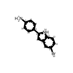 Nc1ccc(-c2cc3cc(Br)ccc3[nH]2)cc1